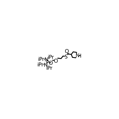 CC(C)N(C(C)C)P(OCOCCCSC(=O)C1CCN(I)CC1)N(C(C)C)C(C)C